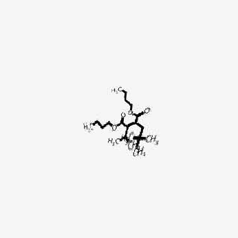 CCCCOC(=O)C(CC(C)(C)C)=C(C(=O)OCCCC)C(C)C